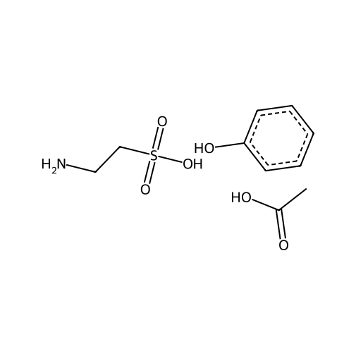 CC(=O)O.NCCS(=O)(=O)O.Oc1ccccc1